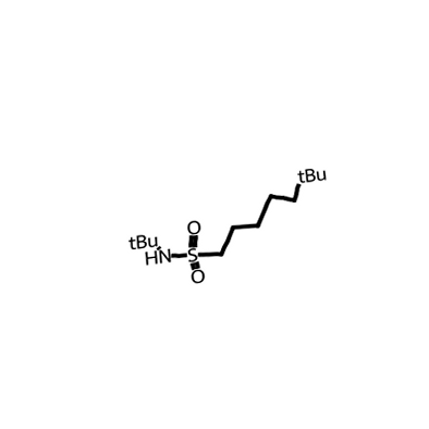 CC(C)(C)CCCCCS(=O)(=O)NC(C)(C)C